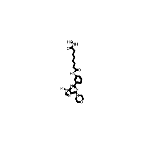 CC(C)n1cnc2c(N3CCOCC3)nc(-c3cccc(NC(=O)CCCCCCC(=O)NO)c3)nc21